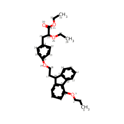 CCCOc1cccc2c1-c1ccccc1C2CCOc1ccc(CC(OCC)C(=O)OCC)cc1